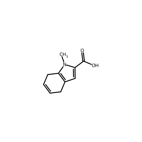 Cn1c(C(=O)O)cc2c1CC=CC2